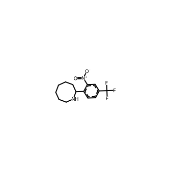 O=[N+]([O-])c1cc(C(F)(F)F)ccc1C1CCCCCCN1